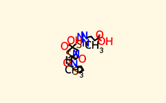 CC(=O)N(c1cccs1)C1C(=O)N2CC(CSc3nnc(CCC(=O)O)n3C)(C(=O)O)CS[C@H]12